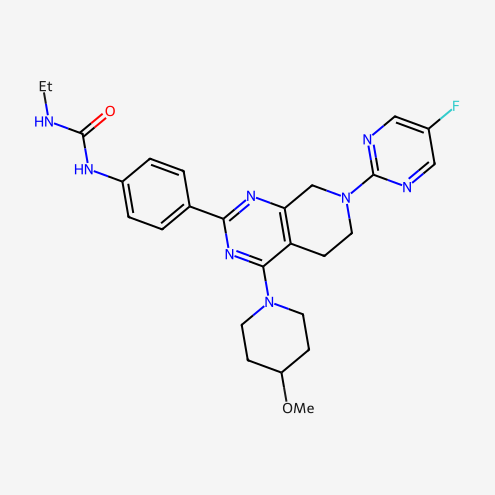 CCNC(=O)Nc1ccc(-c2nc3c(c(N4CCC(OC)CC4)n2)CCN(c2ncc(F)cn2)C3)cc1